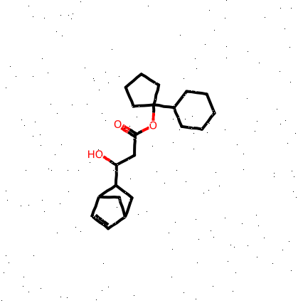 O=C(CC(O)C1CC2C=CC1C2)OC1(C2CCCCC2)CCCC1